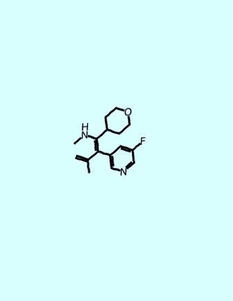 C=C(C)/C(=C(\NC)C1CCOCC1)c1cncc(F)c1